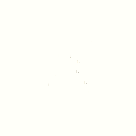 C=CC(=O)N1CC[C@H]2[C@H]1CN2c1nc(OCC23CCCN2CCC3)nc2c(F)c(-c3cccc4ccc(F)c(Cl)c34)ccc12